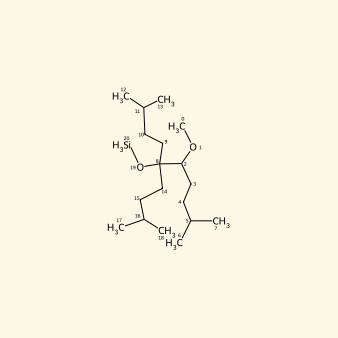 COC(CCC(C)C)C(CCC(C)C)(CCC(C)C)O[SiH3]